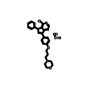 Clc1ncnc2c(-c3ccc(OCCCN4CCOCC4)cc3)cn(-c3ccccc3)c12.O=CO